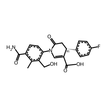 Cc1c(C(N)=O)ccc(N2C=C(C(=O)O)[C@@H](c3ccc(F)cc3)CC2=O)c1CO